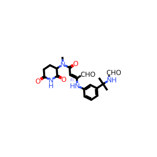 CN(C(=O)/C=C(\C=O)Nc1cccc(C(C)(C)NC=O)c1)C1CCC(=O)NC1=O